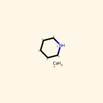 C1CCNCC1.[CaH2]